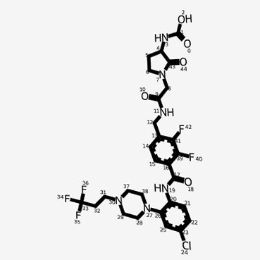 O=C(O)NC1CCN(CC(=O)NCc2ccc(C(=O)Nc3ccc(Cl)cc3N3CCN(CCC(F)(F)F)CC3)c(F)c2F)C1=O